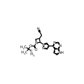 CC(C)(C)OC(=O)N1CC(CC#N)C1n1cc(-c2ncnc3[nH]ccc23)cn1